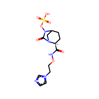 O=C(NOCCn1ccnc1)[C@@H]1CCC2CN1C(=O)N2OS(=O)(=O)O